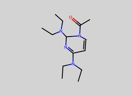 CCN(CC)C1=NC(N(CC)CC)N(C(C)=O)[C]=C1